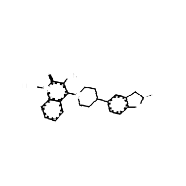 C[C@@H]1Cc2cc(C3CCN(c4c(C#N)c(=O)n(C)c5ccccc45)CC3)ccc2O1